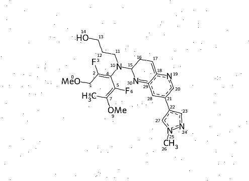 COC/C(F)=C(\C(F)=C(/C)OC)N(CCCO)C1CC=c2ncc(-c3cnn(C)c3)cc2=N1